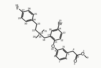 COC(=O)Cc1cccc(Oc2ccc(Br)cc2C[N+](C)(C)CCc2ccc(F)cc2)c1